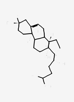 C[C@H](CCC(O)C(C)(C)C)[C@H]1CC[C@H]2[C@@H]3CC=C4C[C@](O)(C(F)(F)F)CC[C@]4(C)C3CC[C@]12C